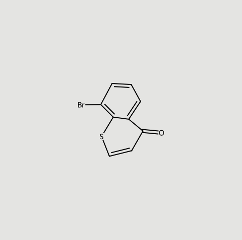 O=c1ccsc2c(Br)cccc12